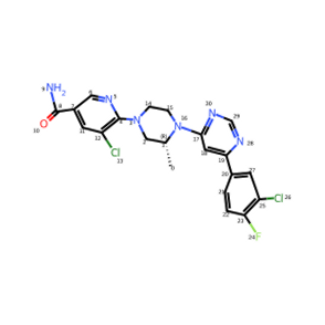 C[C@@H]1CN(c2ncc(C(N)=O)cc2Cl)CCN1c1cc(-c2ccc(F)c(Cl)c2)ncn1